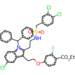 CCOC(=O)c1ccc(OCCc2c(CCNS(=O)(=O)Cc3ccc(Cl)c(Cl)c3)n(C(c3ccccc3)c3ccccc3)c3ccc(Cl)cc23)cc1F